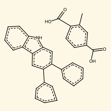 Cc1cc(C(=O)O)ccc1C(=O)O.c1ccc(-c2cc3[nH]c4ccccc4c3cc2-c2ccccc2)cc1